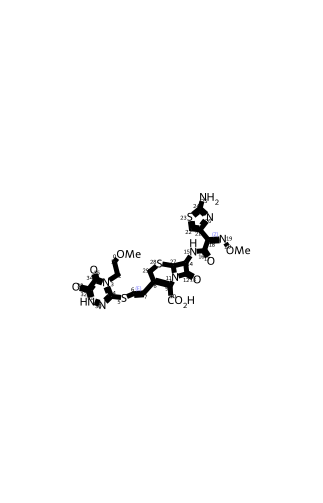 COCCn1c(S/C=C/C2=C(C(=O)O)N3C(=O)C(NC(=O)/C(=N\OC)c4csc(N)n4)C3SC2)n[nH]c(=O)c1=O